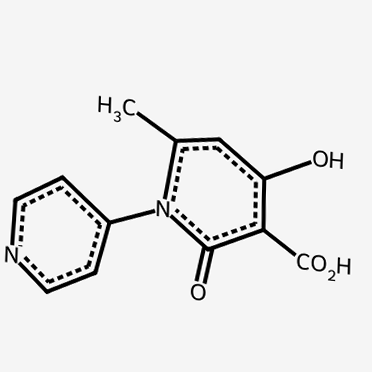 Cc1cc(O)c(C(=O)O)c(=O)n1-c1ccncc1